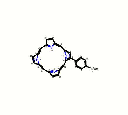 CNc1ccc(-c2cc3cc4nc(cc5ccc(cc6nc(cc2[nH]3)C=C6)[nH]5)C=C4)cc1